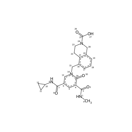 CNC(=O)c1cc(C(=O)NC2CC2)cn(Cc2cccc3c2CCN(C(=O)O)C3)c1=O